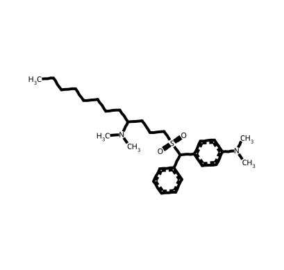 CCCCCCCCC(CCCS(=O)(=O)C(c1ccccc1)c1ccc(N(C)C)cc1)N(C)C